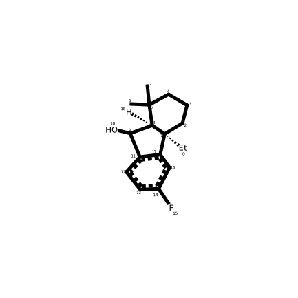 CC[C@@]12CCCC(C)(C)[C@@H]1C(O)c1ccc(F)cc12